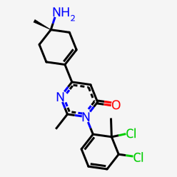 Cc1nc(C2=CC[C@@](C)(N)CC2)cc(=O)n1C1=CC=CC(Cl)C1(C)Cl